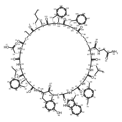 CCCC[C@H]1C(=O)N(C)CC(=O)N[C@@H](CC(=O)O)C(=O)N[C@@H](C(C)C)C(=O)N(C)[C@@H](Cc2ccccc2)C(=O)N[C@H]2Cc3ccc(O)cc3N(CC(=O)N[C@@H](Cc3c[nH]c4ccccc34)C(=O)N[C@@H](Cc3ccc(F)cc3)C(=O)N[C@@H](CC(C)C)C(=O)N[C@H](C(=O)NCC(N)=O)CSCC(=O)N[C@@H](Cc3ccccc3)C(=O)N(C)[C@@H](Cc3ccccc3)C(=O)N1C)C2=O